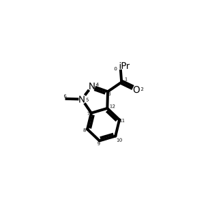 CC(C)C(=O)c1nn(C)c2ccccc12